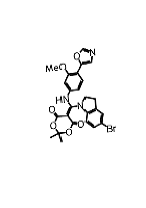 COc1cc(NC(=C2C(=O)OC(C)(C)OC2=O)N2CCc3cc(Br)ccc32)ccc1-c1cnco1